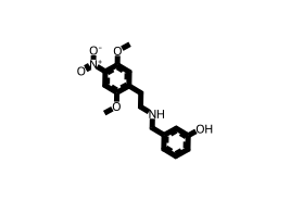 COc1cc([N+](=O)[O-])c(OC)cc1CCNCc1cccc(O)c1